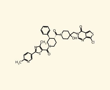 Cc1ccc(-c2nc(C)c(C(=O)N3CC[C@@H](C(=O)N4CCC(O)(Cn5cnc6c(Cl)scc6c5=O)CC4)[C@H](c4ccccc4)C3)s2)cn1